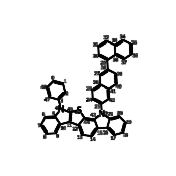 c1ccc(-n2c3ccccc3c3c4ccc5c6ccccc6n(-c6ccc7cc(-c8cccc9ccccc89)ccc7c6)c5c4sc32)cc1